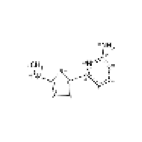 CNC1=CCC(c2cccc(N)n2)S1